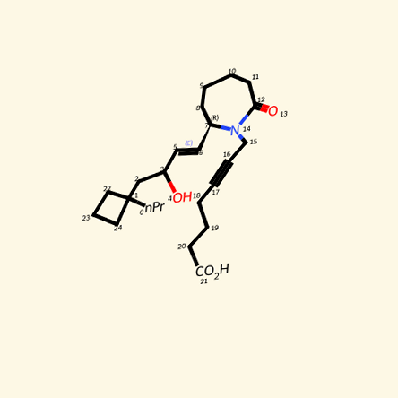 CCCC1(CC(O)/C=C/[C@H]2CCCCC(=O)N2CC#CCCCC(=O)O)CCC1